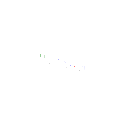 CC(C)CC(NC(=O)c1ccc(OC(F)(F)F)cc1)C(=O)N1CCC2C1C(=O)CN2C(=O)Cc1cccnc1